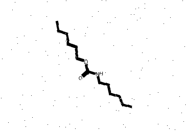 CCCCCCNC(=O)OCCCCCC